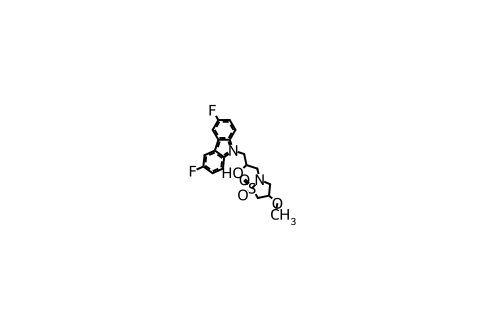 COC1CN(CC(O)Cn2c3ccc(F)cc3c3cc(F)ccc32)S(=O)(=O)C1